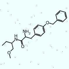 CCC(COC)NC(=O)C(N)Cc1ccc(OCc2ccccc2)cc1